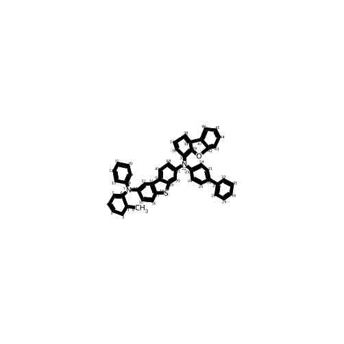 CC1CC=CC=C1N(c1ccccc1)c1ccc2sc3cc(N(c4ccc(-c5ccccc5)cc4)c4cccc5c4oc4ccccc45)ccc3c2c1